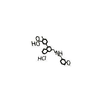 COc1cccc(CCNCCc2cc(-c3ccc(C)c(C(=O)O)c3)c3ccccc3c2)c1.Cl